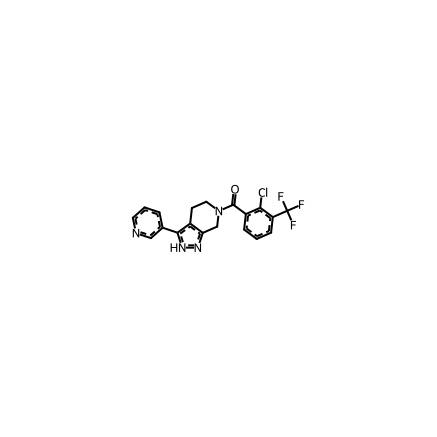 O=C(c1cccc(C(F)(F)F)c1Cl)N1CCc2c(n[nH]c2-c2cccnc2)C1